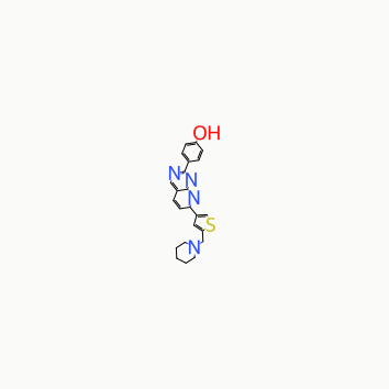 Oc1ccc(-c2ncc3ccc(-c4csc(CN5CCCCC5)c4)nc3n2)cc1